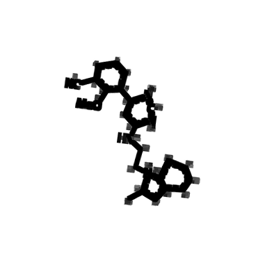 COc1c(C#N)cccc1-c1cc(NCCn2c(C)cc3ccccc32)ncn1